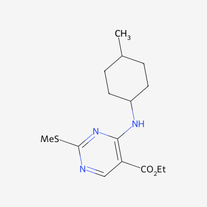 CCOC(=O)c1cnc(SC)nc1NC1CCC(C)CC1